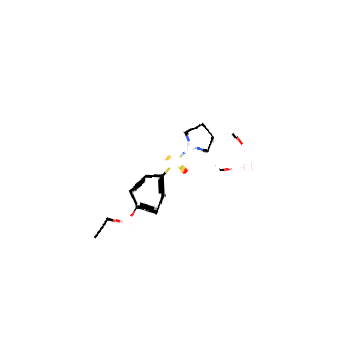 CCOc1ccc(S(=O)(=O)N2CC[C@H](CO)[C@@H]2CO)cc1